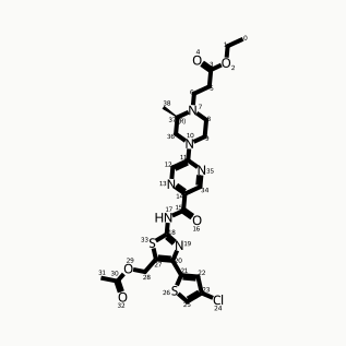 CCOC(=O)CCN1CCN(c2cnc(C(=O)Nc3nc(-c4cc(Cl)cs4)c(COC(C)=O)s3)cn2)C[C@H]1C